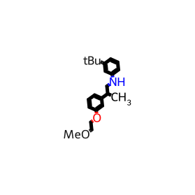 COCCOc1cccc(C(C)CNc2cccc(C(C)(C)C)c2)c1